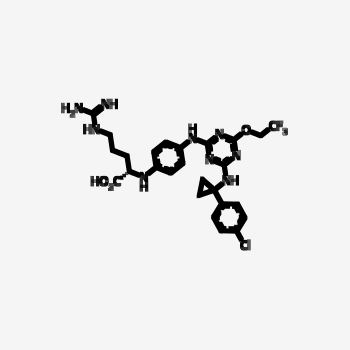 N=C(N)NCCC[C@H](Nc1ccc(Nc2nc(NC3(c4ccc(Cl)cc4)CC3)nc(OCC(F)(F)F)n2)cc1)C(=O)O